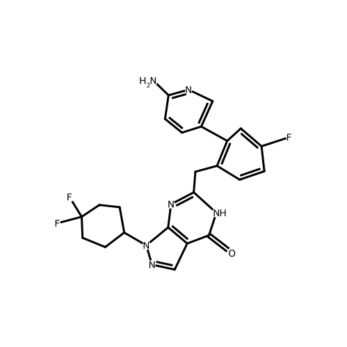 Nc1ccc(-c2cc(F)ccc2Cc2nc3c(cnn3C3CCC(F)(F)CC3)c(=O)[nH]2)cn1